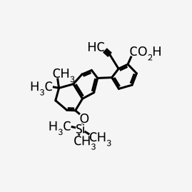 C#Cc1c(C(=O)O)cccc1-c1ccc2c(c1)C(O[Si](C)(C)C)=CCC2(C)C